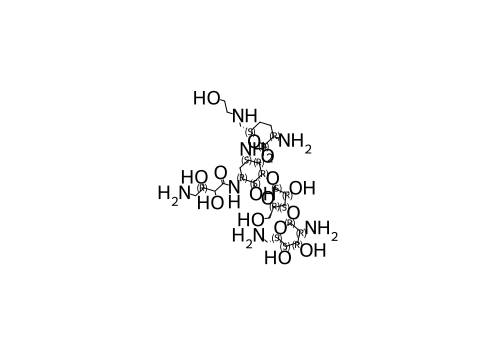 NC[C@@H](O)C(O)C(=O)N[C@@H]1C[C@H](N)[C@@H](O[C@H]2O[C@H](CNCCO)CC[C@H]2N)[C@H](O[C@@H]2O[C@H](CO)[C@@H](O[C@H]3O[C@@H](CN)[C@@H](O)[C@H](O)[C@H]3N)[C@H]2O)[C@H]1O